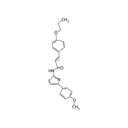 CCCOc1ccc(/C=C/C(=O)Nc2nc(-c3ccc(OC)cc3)cs2)cc1